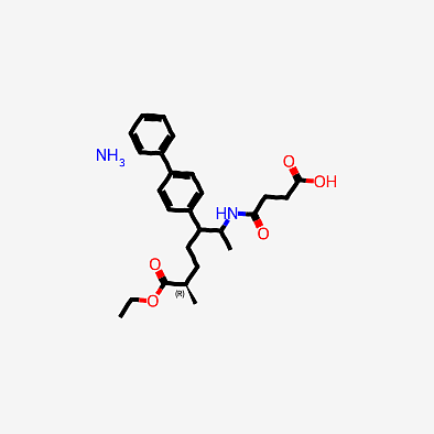 CCOC(=O)[C@H](C)CCC(c1ccc(-c2ccccc2)cc1)C(C)NC(=O)CCC(=O)O.N